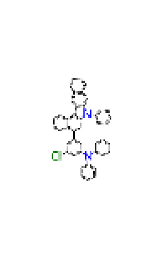 Clc1cc(-c2cc3c(c4ccccc24)c2cc4ccccc4cc2n3-c2ccccc2)cc(N(c2ccccc2)c2ccccc2)c1